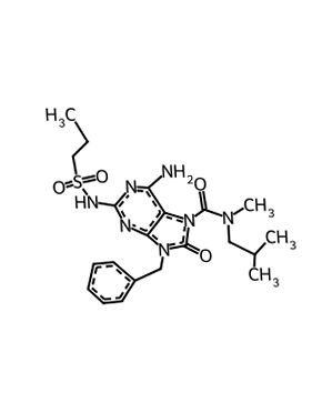 CCCS(=O)(=O)Nc1nc(N)c2c(n1)n(Cc1ccccc1)c(=O)n2C(=O)N(C)CC(C)C